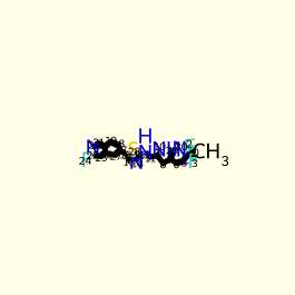 CC(F)(F)c1ccc(C[C@H](N)CNc2ncc(-c3ccc4cnc(F)cc4c3)s2)cn1